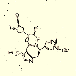 Cn1cnc2cc(-c3cnn(C(C)(C)C)c3)nc(O[C@H](C(F)F)[C@H]3CNC(=O)C3)c21